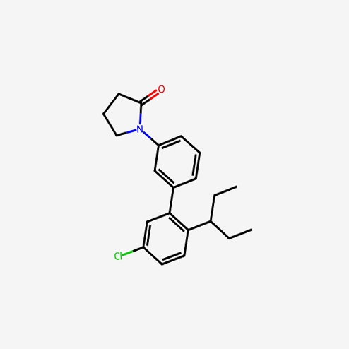 CCC(CC)c1ccc(Cl)cc1-c1cccc(N2CCCC2=O)c1